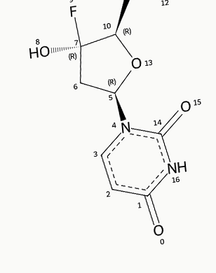 O=c1ccn([C@H]2C[C@@](O)(F)[C@@H](CO)O2)c(=O)[nH]1